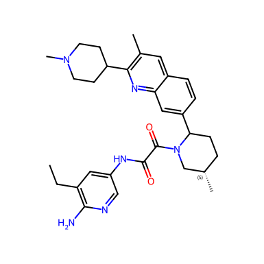 CCc1cc(NC(=O)C(=O)N2C[C@@H](C)CCC2c2ccc3cc(C)c(C4CCN(C)CC4)nc3c2)cnc1N